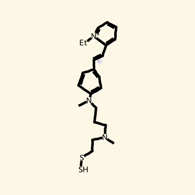 CC[n+]1ccccc1/C=C/c1ccc(N(C)CCCN(C)CCSS)cc1